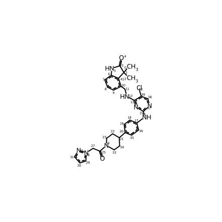 CC1(C)C(=O)Nc2cccc(CNc3nc(Nc4ccc(C5CCN(C(=O)Cn6cccn6)CC5)cc4)ncc3Cl)c21